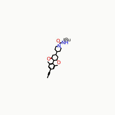 CC#Cc1cc(C)c(C2C(=O)CC(C3CCN(C(=O)NC(C)(C)C)CC3)CC2=O)c(C)c1